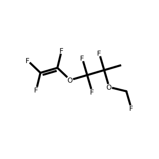 CC(F)(OCF)C(F)(F)OC(F)=C(F)F